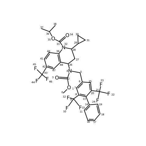 COC(=O)N(Cc1cc(C(F)(F)F)c(-c2ccccc2)c(C(F)(F)F)c1)C1CC(C2CC2)N(C(=O)OC(C)C)c2ccc(C(F)(F)F)cc21